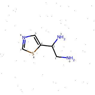 NCC(N)c1cncs1